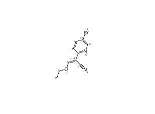 CCO/C=C(\C#N)c1ccc(Br)cn1